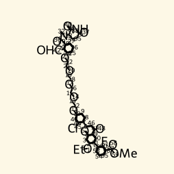 CCOc1cc2oc(-c3ccc(OCCOCCOCCOCCOc4cccc(C(=O)N(C)C5CCC(=O)NC5=O)c4C=O)cc3Cl)cc(=O)c2cc1-c1cccc(C(=O)OC)c1F